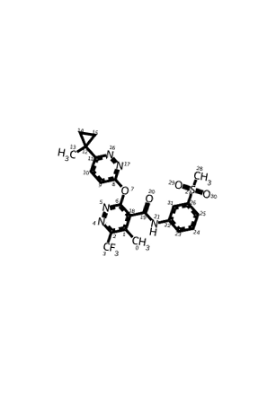 Cc1c(C(F)(F)F)nnc(Oc2ccc(C3(C)CC3)nn2)c1C(=O)Nc1cccc(S(C)(=O)=O)c1